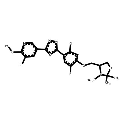 CC(C)Oc1ncc(-c2nnc(-c3cc(F)c(OCC4COC(C)(C)N4C(=O)O)cc3Cl)s2)cc1Cl